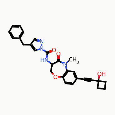 CN1C(=O)C(NC(=O)n2cc(Cc3ccccc3)cn2)COc2ccc(C#CC3(O)CCC3)cc21